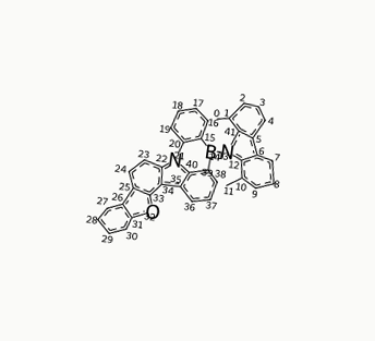 Cc1cccc2c3cccc(C)c3n(B3c4ccccc4-n4c5ccc6c7ccccc7oc6c5c5cccc3c54)c12